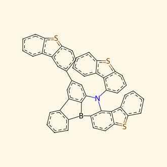 c1ccc2c(c1)B1c3ccc4sc5ccccc5c4c3N(c3cccc4sc5ccccc5c34)c3cc(-c4ccc5sc6ccccc6c5c4)cc-2c31